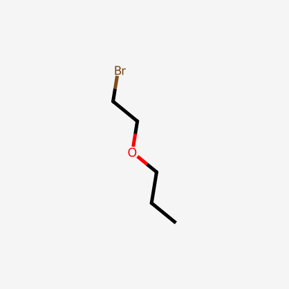 CCCOCCBr